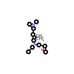 CC1(C)c2cc(-c3ccc4c(c3)c3ccccc3n4-c3ccccc3)ccc2-c2ccc(N(c3ccc(-c4ccccc4)cc3)c3ccc(-c4cccc5c4oc4ccccc45)cc3)cc21